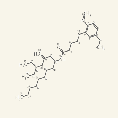 C=Nc1ccc(CC)cc1SCCCC(=O)NC(CCCCCCCC)CC(=C)CN(CC)CC